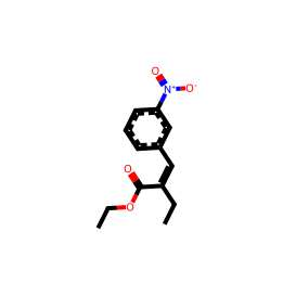 CCOC(=O)C(=Cc1cccc([N+](=O)[O-])c1)CC